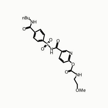 CCCCNC(=O)c1ccc(S(=O)(=O)NC(=O)c2ccc(OC(=O)NCCOC)nc2)cc1